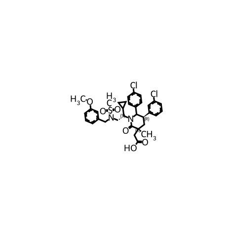 COc1cccc(CN(C[C@H](C2CC2)N2C(=O)[C@@](C)(CC(=O)O)C[C@H](c3cccc(Cl)c3)C2c2ccc(Cl)cc2)S(C)(=O)=O)c1